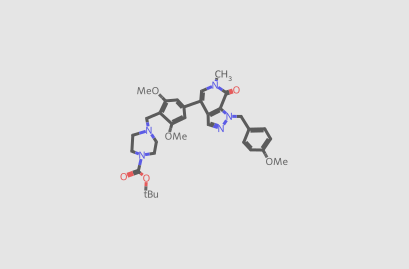 COc1ccc(Cn2ncc3c(-c4cc(OC)c(CN5CCN(C(=O)OC(C)(C)C)CC5)c(OC)c4)cn(C)c(=O)c32)cc1